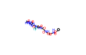 CC(C)C(=O)Nc1nc2ncc(CN(C(=O)C(F)(F)F)c3ccc(C(=O)N[C@H](C=O)CCC(=O)NCCOC(C)(C)OCCNC(=O)OCc4ccccc4)cc3)nc2c(=O)[nH]1